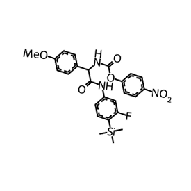 COc1ccc(C(NC(=O)Oc2ccc([N+](=O)[O-])cc2)C(=O)Nc2ccc([Si](C)(C)C)c(F)c2)cc1